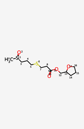 C[Si](=O)CCCSCCC(=O)OCC1CCCO1